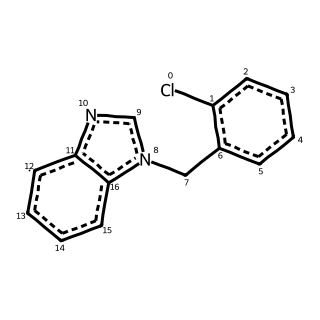 Clc1ccccc1Cn1cnc2[c]cccc21